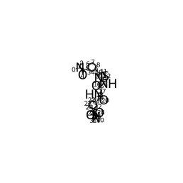 CN(C)C(=O)c1cccc(-c2csc(NC(=O)CNC(=O)c3cccc(S(=O)(=O)N(C)C)c3)n2)c1